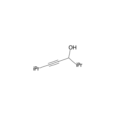 CC(C)C#CC(O)C(C)C